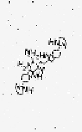 NCCC(N)c1cc(-c2cc3ccc(C4=NCCCN4)cc3[nH]2)cnc1-c1cc2ccc(C3=NCCCN3)cc2[nH]1